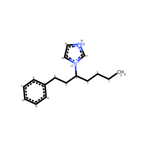 CCCCC(CCc1ccccc1)[n+]1cc[nH]c1